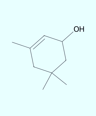 CC1=CC(O)CC(C)(C)C1